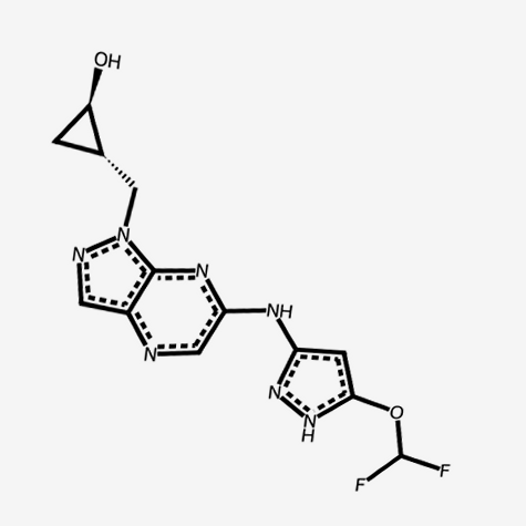 O[C@@H]1C[C@H]1Cn1ncc2ncc(Nc3cc(OC(F)F)[nH]n3)nc21